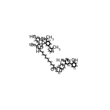 Cc1ncsc1-c1ccc([C@H](C)NC(=O)[C@@H]2C[C@@H](O)CN2C(=O)[C@@H](NC(=O)CCCCCCCCCCC(=O)N2CCOC3(CCN(c4cc(-c5ccccc5O)nnc4N)CC3)C2)C(C)(C)C)cc1